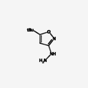 CC(C)(C)c1cc(NN)no1